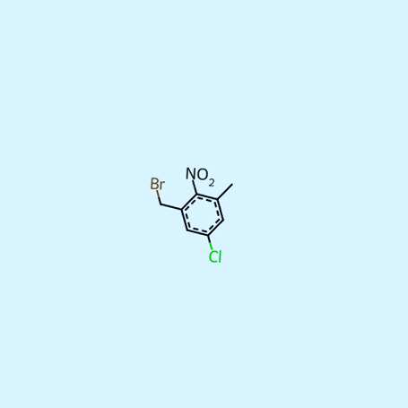 Cc1cc(Cl)cc(CBr)c1[N+](=O)[O-]